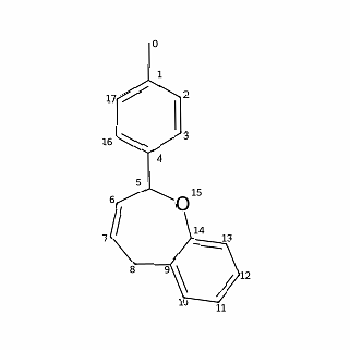 Cc1ccc(C2C=CCc3ccccc3O2)cc1